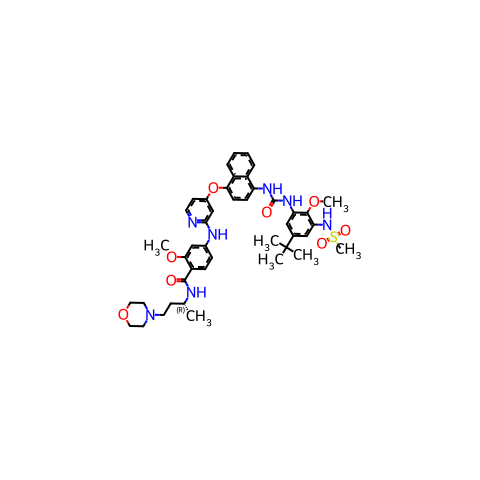 COc1cc(Nc2cc(Oc3ccc(NC(=O)Nc4cc(C(C)(C)C)cc(NS(C)(=O)=O)c4OC)c4ccccc34)ccn2)ccc1C(=O)N[C@H](C)CCN1CCOCC1